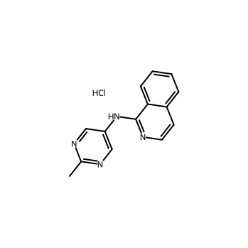 Cc1ncc(Nc2nccc3ccccc23)cn1.Cl